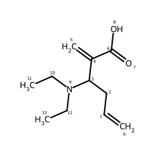 C=CCC(C(=C)C(=O)O)N(CC)CC